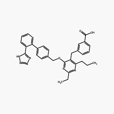 CCCc1nc(CC)nc(OCc2ccc(-c3ccccc3-c3nnn[nH]3)cc2)c1Cc1cccc(C(=O)O)c1